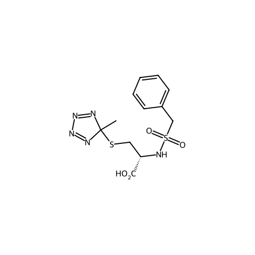 CC1(SC[C@H](NS(=O)(=O)Cc2ccccc2)C(=O)O)N=NN=N1